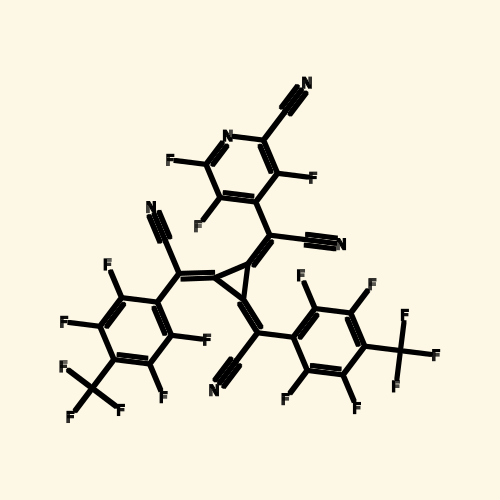 N#CC(=C1C(=C(\C#N)c2c(F)c(F)c(C(F)(F)F)c(F)c2F)/C1=C(\C#N)c1c(F)c(F)c(C(F)(F)F)c(F)c1F)c1c(F)c(F)nc(C#N)c1F